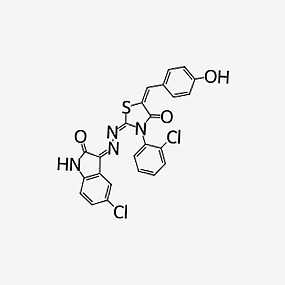 O=C1Nc2ccc(Cl)cc2C1=NN=C1SC(=Cc2ccc(O)cc2)C(=O)N1c1ccccc1Cl